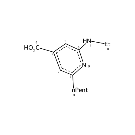 CCCCCc1cc(C(=O)O)cc(NCC)n1